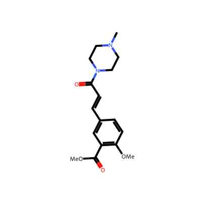 COC(=O)c1cc(/C=C/C(=O)N2CCN(C)CC2)ccc1OC